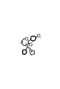 COc1ccc(C2OC/C=C\CN(C(CN3CCCC3)c3ccccc3)C2=O)cc1